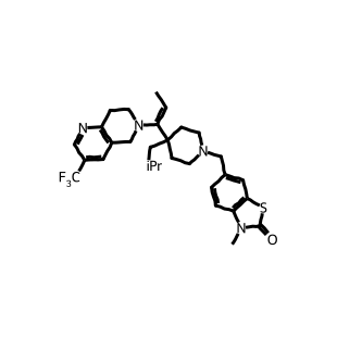 C/C=C(\N1CCc2ncc(C(F)(F)F)cc2C1)C1(CC(C)C)CCN(Cc2ccc3c(c2)sc(=O)n3C)CC1